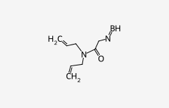 B=NCC(=O)N(CC=C)CC=C